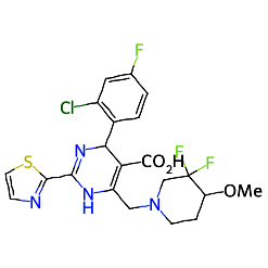 COC1CCN(CC2=C(C(=O)O)C(c3ccc(F)cc3Cl)N=C(c3nccs3)N2)CC1(F)F